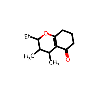 CCC1OC2=C(C(=O)CCC2)C(C)C1C